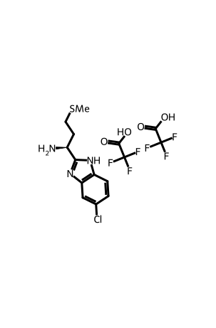 CSCC[C@H](N)c1nc2cc(Cl)ccc2[nH]1.O=C(O)C(F)(F)F.O=C(O)C(F)(F)F